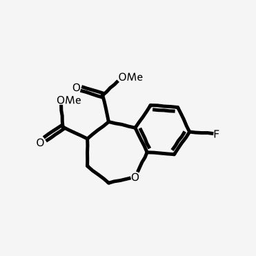 COC(=O)C1CCOc2cc(F)ccc2C1C(=O)OC